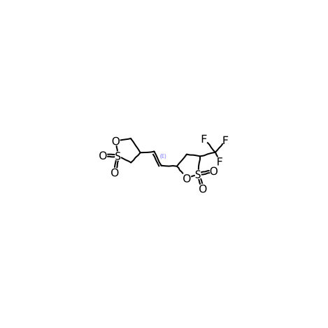 O=S1(=O)CC(/C=C/C2CC(C(F)(F)F)S(=O)(=O)O2)CO1